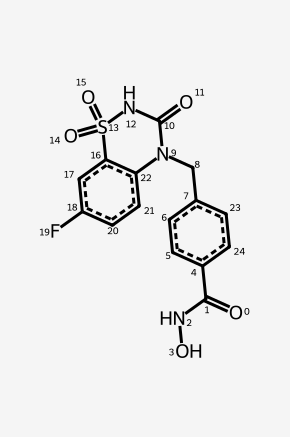 O=C(NO)c1ccc(CN2C(=O)NS(=O)(=O)c3cc(F)ccc32)cc1